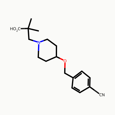 CC(C)(CN1CCC(OCc2ccc(C#N)cc2)CC1)C(=O)O